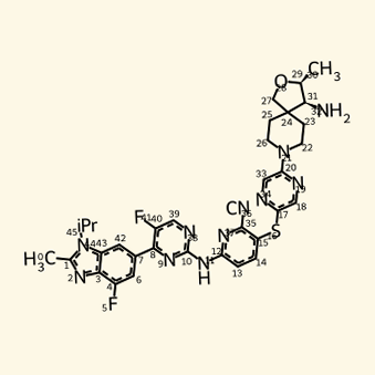 Cc1nc2c(F)cc(-c3nc(Nc4ccc(Sc5cnc(N6CCC7(CC6)CO[C@@H](C)[C@H]7N)cn5)c(C#N)n4)ncc3F)cc2n1C(C)C